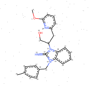 COc1cccc(CC(CO)n2c(=N)n(Cc3ccc(C)cc3)c3ccccc32)n1